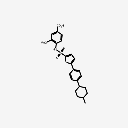 COc1cc(C(=O)O)ccc1NS(=O)(=O)c1ccc(-c2ccc(C3CCC(C)CC3)cc2)s1